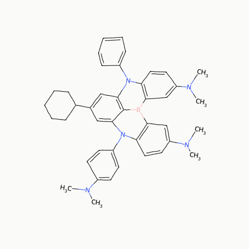 CN(C)c1ccc(N2c3ccc(N(C)C)cc3B3c4cc(N(C)C)ccc4N(c4ccccc4)c4cc(C5CCCCC5)cc2c43)cc1